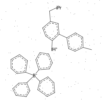 Cc1ccc(-c2cc(CC(C)C)ccc2[IH+])cc1.c1ccc([B-](c2ccccc2)(c2ccccc2)c2ccccc2)cc1